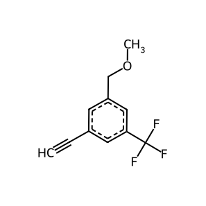 C#Cc1cc(COC)cc(C(F)(F)F)c1